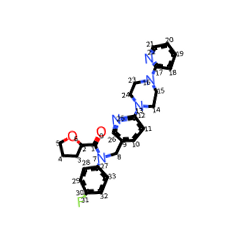 O=C(C1CCCO1)N(Cc1ccc(N2CCN(c3ccccn3)CC2)nc1)c1ccc(F)cc1